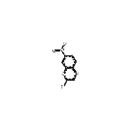 O=[N+]([O-])c1ccc2ncc(Cl)nc2c1